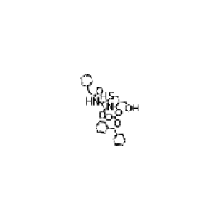 O=C(Cc1ccccc1)NC1C(=O)N2C(OC(=O)OC(c3ccccc3)c3ccccc3)=C(CO)CS[C@@H]12